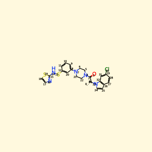 C[C@H](C(=O)N1CCN(c2cccc(SNc3nccs3)c2)CC1)n1ccc2ccc(Cl)cc21